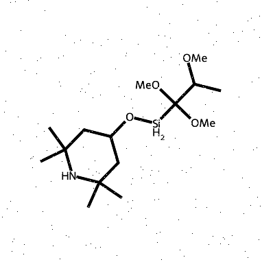 COC(C)C(OC)(OC)[SiH2]OC1CC(C)(C)NC(C)(C)C1